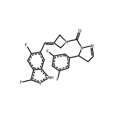 O=C(N1CC(=Cc2cc3[nH]nc(F)c3cc2F)C1)N1N=CCC1c1cc(F)cc(F)c1